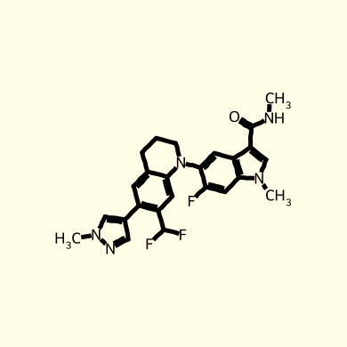 CNC(=O)c1cn(C)c2cc(F)c(N3CCCc4cc(-c5cnn(C)c5)c(C(F)F)cc43)cc12